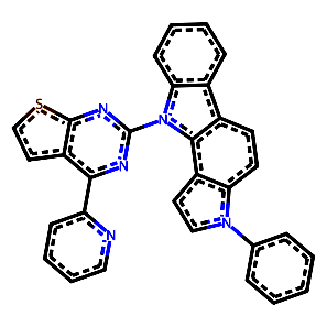 c1ccc(-n2ccc3c2ccc2c4ccccc4n(-c4nc(-c5ccccn5)c5ccsc5n4)c23)cc1